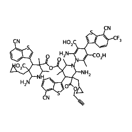 C#CCOC(=O)C1(CC2CC2)C(N)N(N2C(C)=C(C(=O)O)C(c3csc4c(C#N)c(C(F)(F)F)ccc34)C(C(=O)O)=C2N)C(C)C(C)(C(=O)OC(=O)C2(C)C(C)NC(N)C(CC3CC3)(C(=O)O)C2c2csc3c(C#N)cccc23)C1c1csc2c(C#N)cccc12